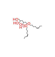 CC/C=C\CCCCOC(CC(CC(CO)CO)C(=O)O)OCCCC/C=C\CC